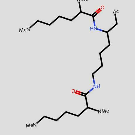 CNCCCCC(NC)C(=O)NCCCCC(CC(C)=O)NC(=O)C(CCCCNC)NC